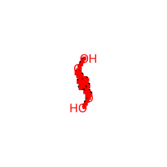 OCCCCCCOc1ccc2cc(-c3ccc4c(c3)C3(C5=C4C=CCC5)c4ccccc4-c4ccc(-c5ccc6cc(OCCCCCCO)ccc6c5)cc43)ccc2c1